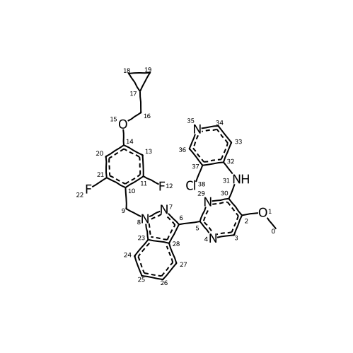 COc1cnc(-c2nn(Cc3c(F)cc(OCC4CC4)cc3F)c3ccccc23)nc1Nc1ccncc1Cl